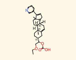 CCOCC(OC(=O)O)[C@H]1CC[C@@]2(C)C(=CC[C@@H]3[C@@H]2CC[C@]2(C)C(c4cccnc4)=CC[C@@H]32)C1